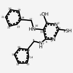 Oc1nc(S)nc(NCc2ccccc2)c1NCc1ccccc1